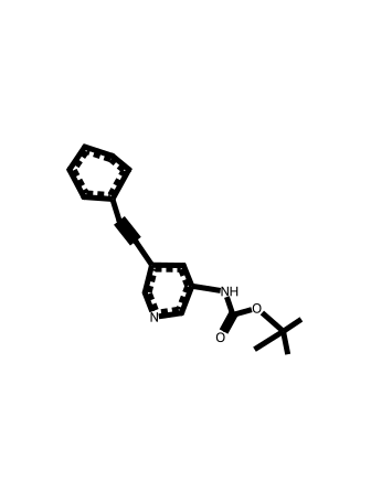 CC(C)(C)OC(=O)Nc1cncc(C#Cc2ccccc2)c1